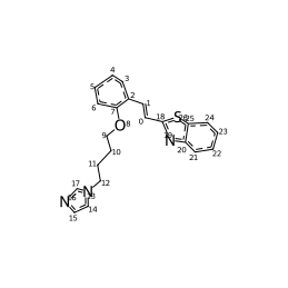 C(=Cc1ccccc1OCCCCn1ccnc1)c1nc2ccccc2s1